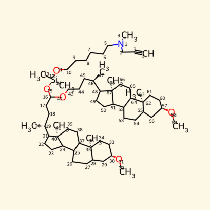 C#CCN(C)CCCCCCO[Si](C)(C)OC(CC[C@@H](C)C1CCC2C3CCC4C[C@H](OC)CC[C@]4(C)C3CC[C@@]21C)OCCC[C@@H](C)C1CCC2C3CCC4C[C@H](OC)CC[C@]4(C)C3CC[C@@]21C